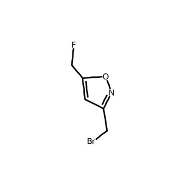 FCc1cc(CBr)no1